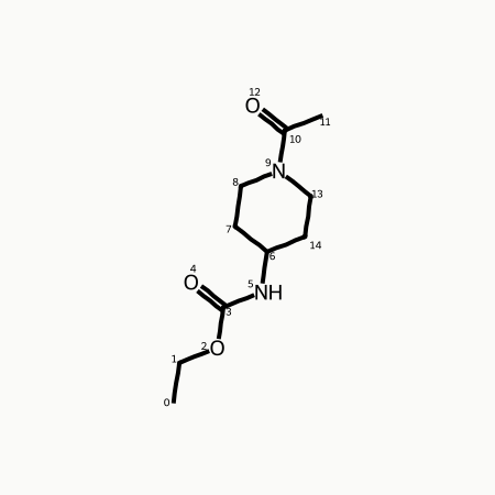 CCOC(=O)NC1CCN(C(C)=O)CC1